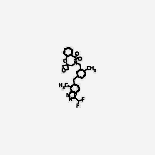 Cc1ccc(Cc2ccn3c(C(F)F)nnc3c2C)cc1CN1CC2(COC2)Oc2ccccc2S1(=O)=O